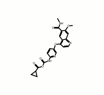 CNC(=O)c1cc2c(Oc3ccc(NC(=O)OC(=O)C4CC4)nc3)ccnc2cc1OC